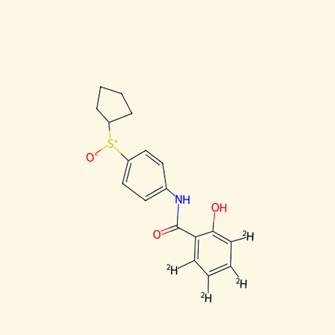 [2H]c1c([2H])c([2H])c(C(=O)Nc2ccc([S+]([O-])C3CCCC3)cc2)c(O)c1[2H]